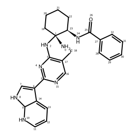 N[C@@]1(Nc2nc(C3=CNC4NC=CC=C34)ncc2F)CCCC[C@H]1NC(=O)c1ccccc1